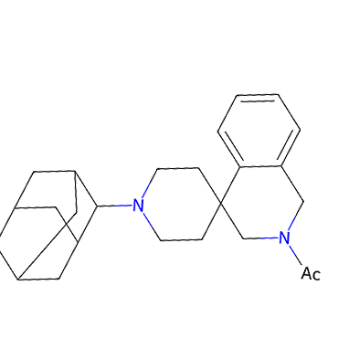 CC(=O)N1Cc2ccccc2C2(CCN(C3C4CC5CC(C4)CC3C5)CC2)C1